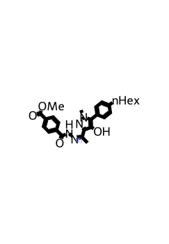 CCCCCCc1ccc(-c2c(O)c(/C(C)=N\NC(=O)c3ccc(C(=O)OC)cc3)nn2C)cc1